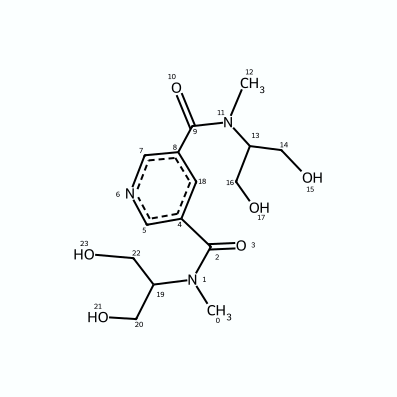 CN(C(=O)c1cncc(C(=O)N(C)C(CO)CO)c1)C(CO)CO